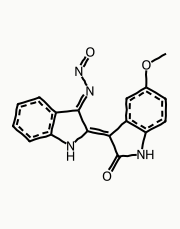 COc1ccc2c(c1)/C(=C1/Nc3ccccc3/C1=N\N=O)C(=O)N2